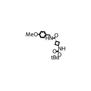 COc1ccc(CNC(=O)[C@H]2C[C@@H](NC(=O)OC(C)(C)C)C2)cc1